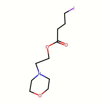 O=C(CCCI)OCCN1CCOCC1